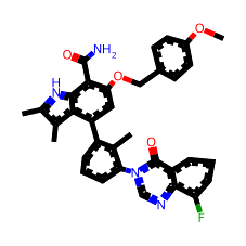 COc1ccc(COc2cc(-c3cccc(-n4cnc5c(F)cccc5c4=O)c3C)c3c(C)c(C)[nH]c3c2C(N)=O)cc1